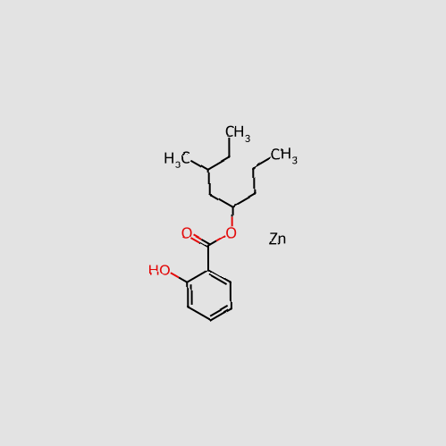 CCCC(CC(C)CC)OC(=O)c1ccccc1O.[Zn]